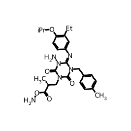 CCc1cc(/N=c2\n(N)c(=O)n(C[C@H](C)C(=O)ON)c(=O)n2Cc2ccc(C)cc2)ccc1OC(C)C